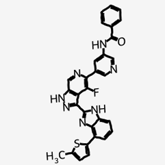 Cc1ccc(-c2cccc3[nH]c(-c4n[nH]c5cnc(-c6cncc(NC(=O)c7ccccc7)c6)c(F)c45)nc23)s1